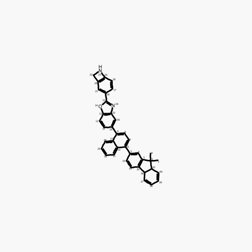 CC1(C)c2cc(-c3ccc(-c4ccc5oc(-c6ccc7c(c6)CN7)nc5c4)c4ccccc34)ccc2C2C=CC=CC21